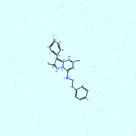 Cc1cc(NCCc2ccccc2)n2nc(C)c(-c3ccc(F)cc3)c2n1